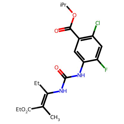 CCOC(=O)/C(C)=C(\CC)NC(=O)Nc1cc(C(=O)OC(C)C)c(Cl)cc1F